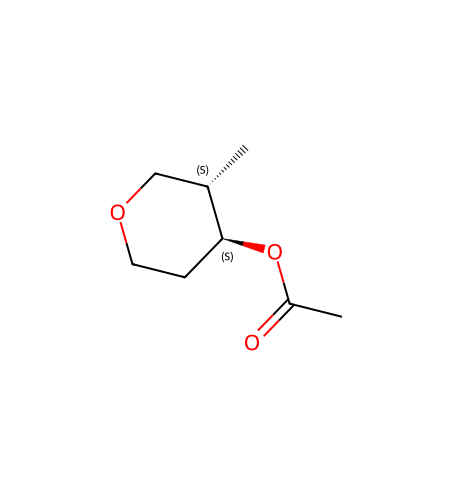 CC(=O)O[C@H]1CCOC[C@@H]1C